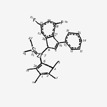 CC1=C(C)C(C)[C]([Zr]([CH]2C=C(c3ccccc3)c3c(F)cc(F)cc32)=[Si](C)C)=C1C